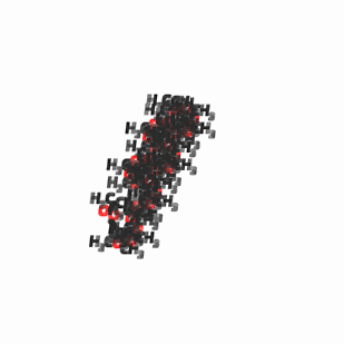 C=C(C)C(=O)OCCC[Si](C)(C)O[Si](C)(C)O[Si](C)(C)O[Si](C)(C)O[Si](C)(C)O[Si](C)(C)O[Si](C)(C)O[Si](C)(C)O[Si](C)(C)O[Si](C)(C)O[Si](C)(C)O[Si](C)(C)O[Si](C)(C)O[Si](C)(C)O[Si](C)(C)O[Si](C)(C)O[Si](C)(C)O[Si](C)(C)O[Si](C)(C)O[Si](C)(C)O[Si](C)(C)O[Si](C)(C)O[Si](C)(C)O[Si](C)(C)O[Si](C)(C)O[Si](C)(C)C